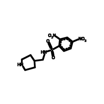 O=[N+]([O-])c1ccc(S(=O)(=O)NCC2CCNCC2)c([N+](=O)[O-])c1